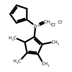 [CH2]=[Zr+2]([C]1=CC=CC1)[C]1=C(C)C(C)=C(C)C1C.[Cl-].[Cl-]